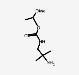 COC(C)OC(=O)NCC(C)(C)N